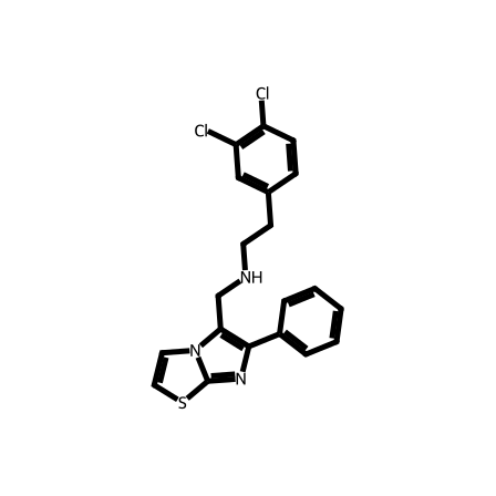 Clc1ccc(CCNCc2c(-c3ccccc3)nc3sccn23)cc1Cl